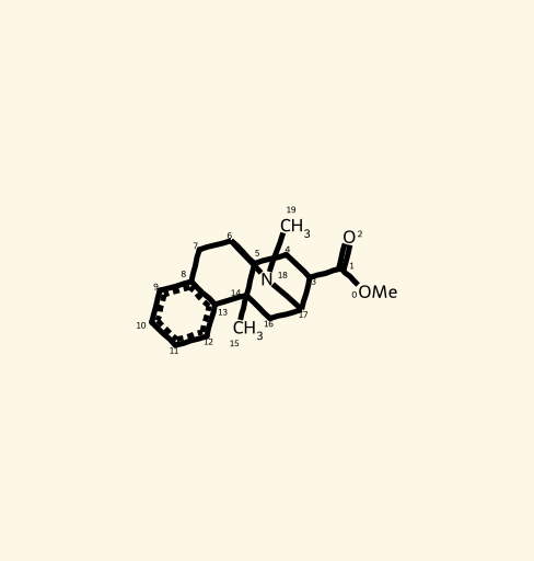 COC(=O)C1CC2C3Cc4ccccc4C2(C)CC1N3C